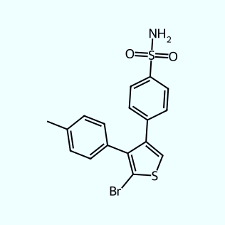 Cc1ccc(-c2c(-c3ccc(S(N)(=O)=O)cc3)csc2Br)cc1